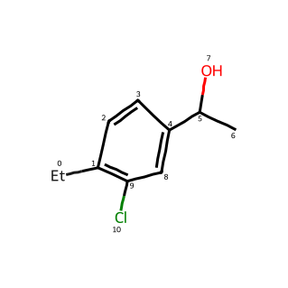 CCc1ccc(C(C)O)cc1Cl